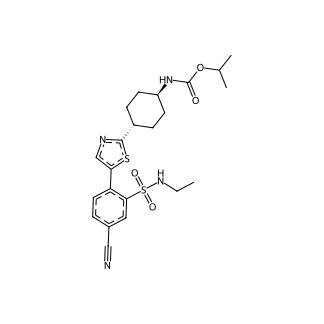 CCNS(=O)(=O)c1cc(C#N)ccc1-c1cnc([C@H]2CC[C@H](NC(=O)OC(C)C)CC2)s1